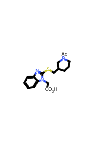 CC(=O)N1CCCC(CSc2nc3ccccc3n2CC(=O)O)C1